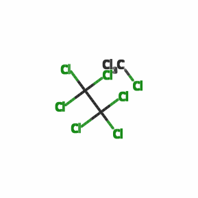 ClC(Cl)(Cl)C(Cl)(Cl)Cl.ClC(Cl)(Cl)Cl